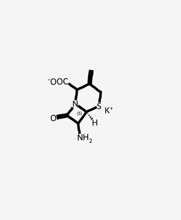 C=C1CS[C@H]2C(N)C(=O)N2C1C(=O)[O-].[K+]